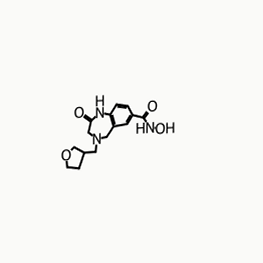 O=C1CN(CC2CCOC2)Cc2cc(C(=O)NO)ccc2N1